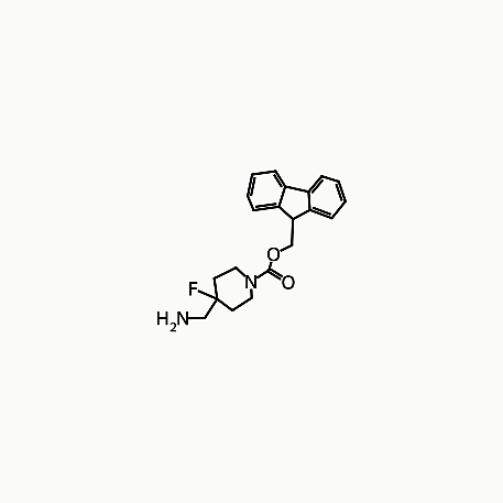 NCC1(F)CCN(C(=O)OCC2c3ccccc3-c3ccccc32)CC1